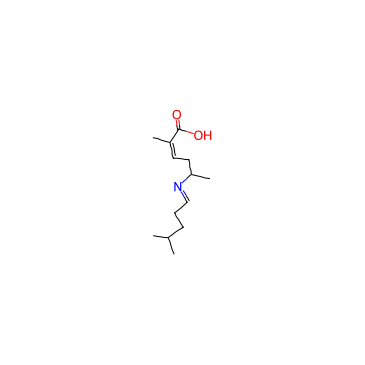 CC(=CCC(C)N=CCCC(C)C)C(=O)O